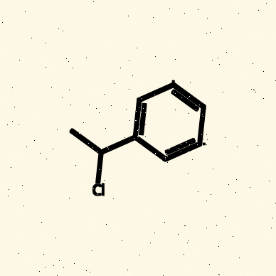 CC(Cl)c1c[c]c[c]c1